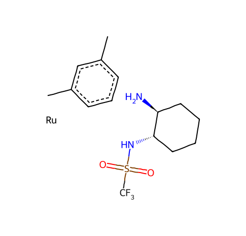 Cc1cccc(C)c1.N[C@H]1CCCC[C@@H]1NS(=O)(=O)C(F)(F)F.[Ru]